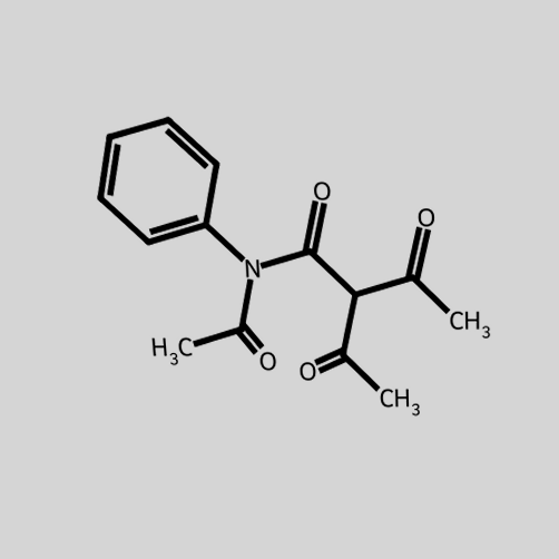 CC(=O)C(C(C)=O)C(=O)N(C(C)=O)c1ccccc1